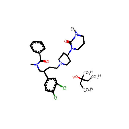 CCN1CCCN(C2CCN(CCC(CN(C)C(=O)c3ccccc3)c3ccc(Cl)c(Cl)c3)CC2)C1=O.O=C(O)CC(O)(CC(=O)O)C(=O)O